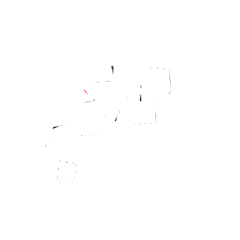 C[C@@H]1C[C@@]2(O)C[C@H](/C=C\C3CNC3)CC[C@]2(C)[C@H]2CC[C@]3(C)C(=O)CC[C@H]3[C@H]12